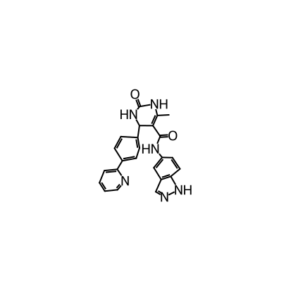 CC1=C(C(=O)Nc2ccc3[nH]ncc3c2)C(c2ccc(-c3ccccn3)cc2)NC(=O)N1